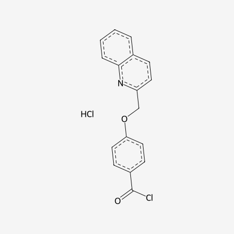 Cl.O=C(Cl)c1ccc(OCc2ccc3ccccc3n2)cc1